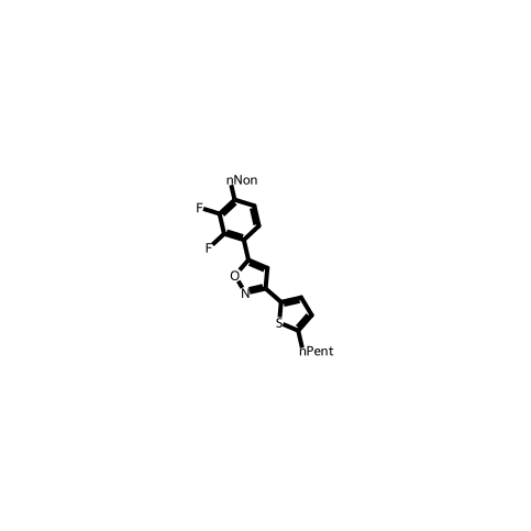 CCCCCCCCCc1ccc(-c2cc(-c3ccc(CCCCC)s3)no2)c(F)c1F